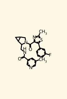 Cc1cncc(C(=O)NCC2C3CC3CN2C(=O)c2nc(C)sc2-c2cccc(F)c2)c1